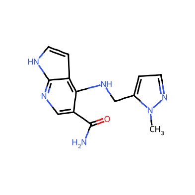 Cn1nccc1CNc1c(C(N)=O)cnc2[nH]ccc12